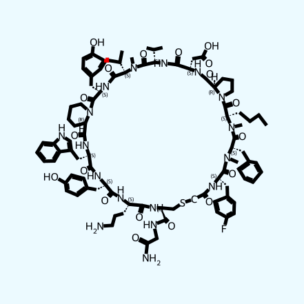 CCCC[C@H]1C(=O)N2CCC[C@@H]2C(=O)N[C@@H](CC(=O)O)C(=O)N[C@@H](C(C)C)C(=O)N(C)[C@@H](C(C)C)C(=O)N[C@@H](Cc2ccc(O)cc2)C(=O)N2CCCC[C@@H]2C(=O)N[C@@H](Cc2c[nH]c3ccccc23)C(=O)N[C@@H](Cc2ccc(O)cc2)C(=O)N[C@@H](CCCN)C(=O)N[C@H](C(=O)NCC(N)=O)CSCC(=O)N[C@@H](Cc2ccc(F)cc2)C(=O)N(C)[C@@H](Cc2ccccc2)C(=O)N1C